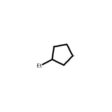 [CH2]CC1C[CH]CC1